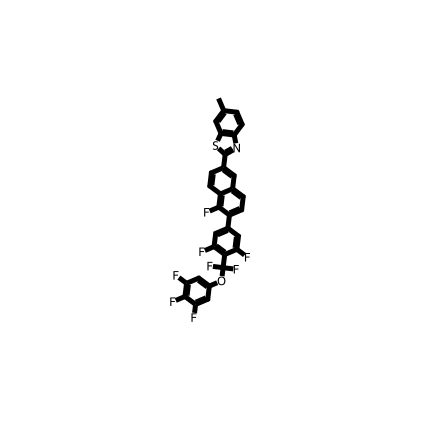 Cc1ccc2nc(-c3ccc4c(F)c(-c5cc(F)c(C(F)(F)Oc6cc(F)c(F)c(F)c6)c(F)c5)ccc4c3)sc2c1